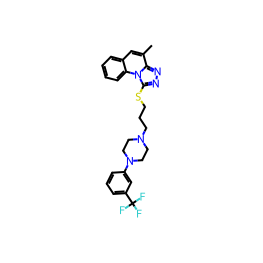 Cc1cc2ccccc2n2c(SCCCN3CCN(c4cccc(C(F)(F)F)c4)CC3)nnc12